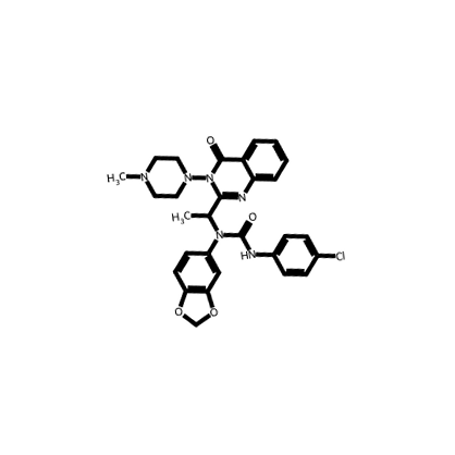 CC(c1nc2ccccc2c(=O)n1N1CCN(C)CC1)N(C(=O)Nc1ccc(Cl)cc1)c1ccc2c(c1)OCO2